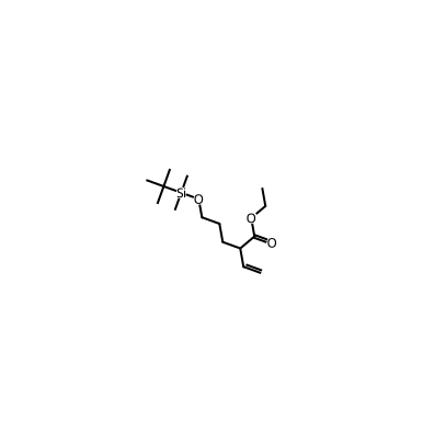 C=CC(CCCO[Si](C)(C)C(C)(C)C)C(=O)OCC